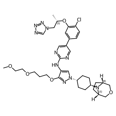 COCCOCCCOc1nn([C@H]2CC[C@H](N3[C@@H]4CC[C@H]3COC4)CC2)cc1Nc1ncc(-c2ccc(Cl)c(O[C@@H](C)Cn3cnnn3)c2)cn1